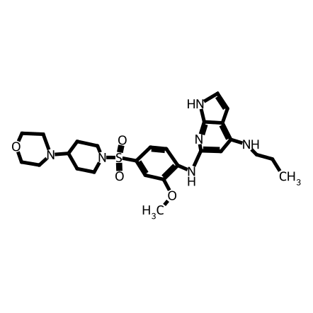 CCCNc1cc(Nc2ccc(S(=O)(=O)N3CCC(N4CCOCC4)CC3)cc2OC)nc2[nH]ccc12